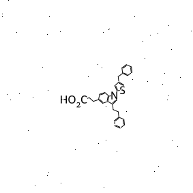 O=C(O)CCc1ccc2c(c1)c(CCc1ccccc1)cn2-c1cc(Cc2ccccc2)cs1